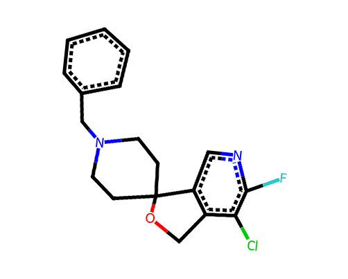 Fc1ncc2c(c1Cl)COC21CCN(Cc2ccccc2)CC1